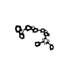 c1ccc(-c2nc(-c3ccccc3)nc(-c3ccc4sc5ccc(-c6ccc7c(c6)sc6ccc(-n8c9ccccc9c9ccccc98)cc67)cc5c4c3)n2)cc1